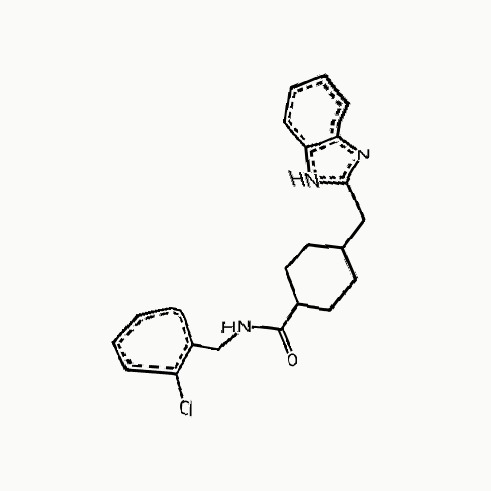 O=C(NCc1ccccc1Cl)C1CCC(Cc2nc3ccccc3[nH]2)CC1